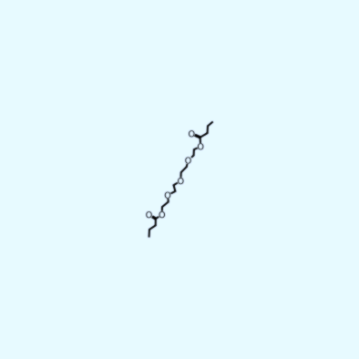 CCCC(=O)OCCOCCOCCOCCOC(=O)CCC